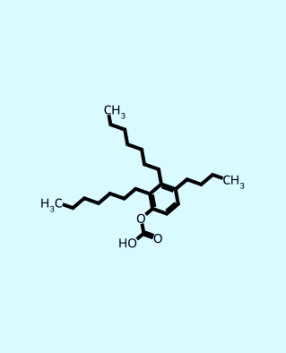 CCCCCCCc1c(CCCC)ccc(OC(=O)O)c1CCCCCCC